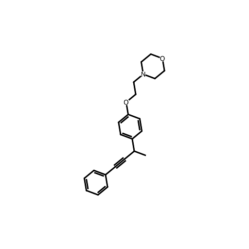 CC(C#Cc1ccccc1)c1ccc(OCCN2CCOCC2)cc1